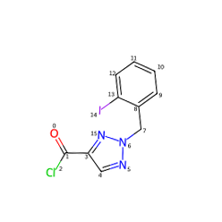 O=C(Cl)c1cnn(Cc2ccccc2I)n1